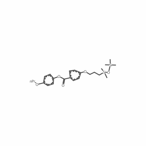 CCCOc1ccc(OC(=O)c2ccc(OCCC[Si](C)(C)O[Si](C)(C)C)cc2)cc1